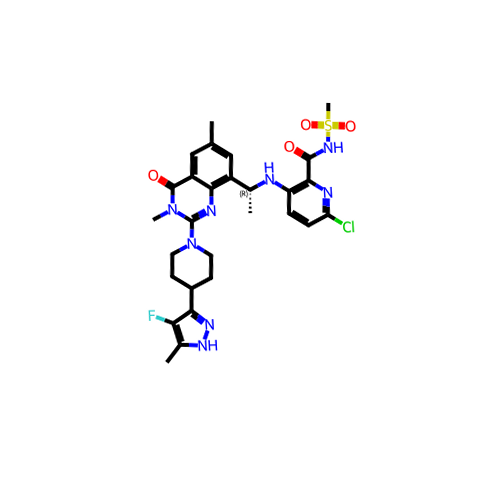 Cc1cc([C@@H](C)Nc2ccc(Cl)nc2C(=O)NS(C)(=O)=O)c2nc(N3CCC(c4n[nH]c(C)c4F)CC3)n(C)c(=O)c2c1